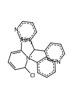 ClC1C=CC=C([AsH2])[N+]1(c1ccccc1)C(c1cccnc1)c1cccnc1